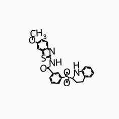 COc1ccc2nc(NC(=O)c3cccc(S(=O)(=O)C4CCc5ccccc5N4)c3)sc2c1